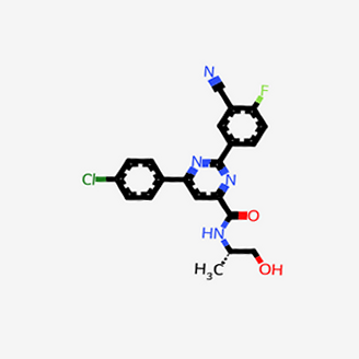 C[C@@H](CO)NC(=O)c1cc(-c2ccc(Cl)cc2)nc(-c2ccc(F)c(C#N)c2)n1